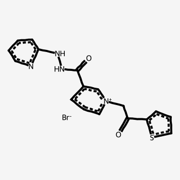 O=C(NNc1ccccn1)c1ccc[n+](CC(=O)c2cccs2)c1.[Br-]